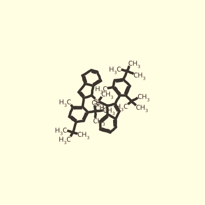 Cc1cc(C(C)(C)C)cc(C(C)(C)C)c1C1=Cc2ccccc2C1[Si](C)(C)C1C(c2c(C)cc(C(C)(C)C)cc2C(C)(C)C)=Cc2ccccc21